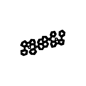 C1=C2CC=C(N(c3ccccc3)c3cccc4c3oc3c(-c5ccccc5)cccc34)c3ccc4ccc(N(c5ccccc5)c5cccc6c5oc5c(-c7ccccc7)cccc56)c(c4c32)C1